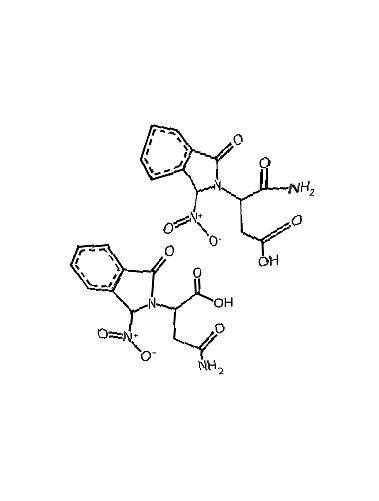 NC(=O)C(CC(=O)O)N1C(=O)c2ccccc2C1[N+](=O)[O-].NC(=O)CC(C(=O)O)N1C(=O)c2ccccc2C1[N+](=O)[O-]